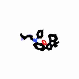 C/C=C\C=C/CN(c1ccccc1)c1cccc2c1oc1c3c(ccc12)C(C)(C)c1ccccc1-3